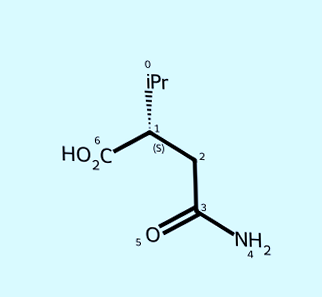 CC(C)[C@H](CC(N)=O)C(=O)O